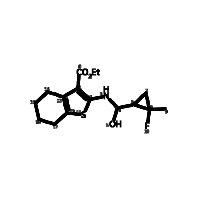 CCOC(=O)c1c(NC(O)C2CC2(C)F)sc2c1CCCC2